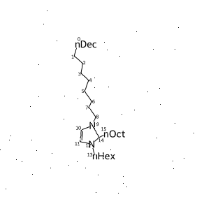 CCCCCCCCCCCCCCCCCCN1C=CN(CCCCCC)C1CCCCCCCC